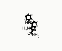 NC(=O)c1sc2nccc(NC3CCCCC3)c2c1N